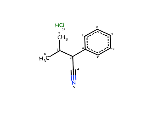 CC(C)C(C#N)c1ccccc1.Cl